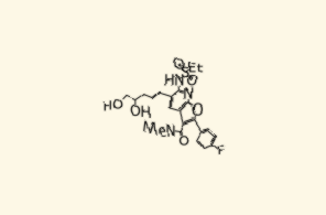 CCS(=O)(=O)Nc1nc2oc(-c3ccc(F)cc3)c(C(=O)NC)c2cc1CCCC(O)CO